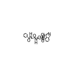 O=C(CNC(=O)c1ccccc1)N[C@H]1CCN(S(=O)(=O)c2cccc3cncc(Cl)c23)C1